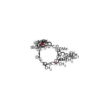 C=C1CC2CCC(=O)/C=C/C(O[Si](C)(C)C(C)(C)C)CC(O[Si](C)(C)C(C)(C)C)C(O[Si](C)(C)C(C)(C)C)[C@H]3OC(CC[C@@H]3OC)CC(=O)C[C@H]3[C@H](CC4O[C@@H](CCC1O2)C[C@@H](C)C4=C)OC(CC(CO[Si](C)(C)C(C)(C)C)O[Si](C)(C)C(C)(C)C)[C@@H]3OC